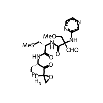 COC[C@](C=O)(Nc1cnccn1)C(=O)N[C@@H](CSC)C(=O)N[C@@H](CC(C)C)C(=O)C1(C)CO1